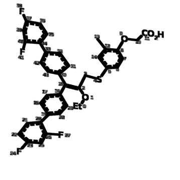 CCOC(CSc1ccc(OCC(=O)O)c(C)c1)=C(c1ccc(-c2ccc(F)cc2F)cc1)c1ccc(-c2ccc(F)cc2F)cc1